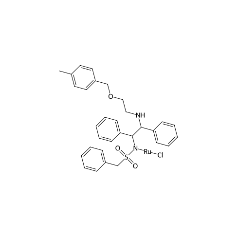 Cc1ccc(COCCNC(c2ccccc2)C(c2ccccc2)[N]([Ru][Cl])S(=O)(=O)Cc2ccccc2)cc1